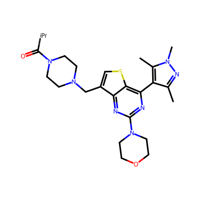 Cc1nn(C)c(C)c1-c1nc(N2CCOCC2)nc2c(CN3CCN(C(=O)C(C)C)CC3)csc12